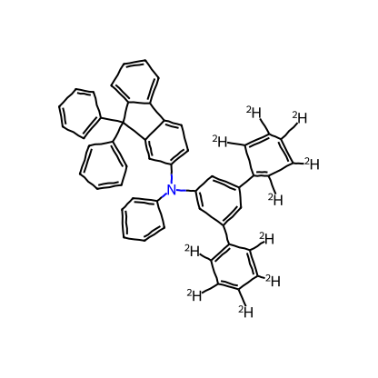 [2H]c1c([2H])c([2H])c(-c2cc(-c3c([2H])c([2H])c([2H])c([2H])c3[2H])cc(N(c3ccccc3)c3ccc4c(c3)C(c3ccccc3)(c3ccccc3)c3ccccc3-4)c2)c([2H])c1[2H]